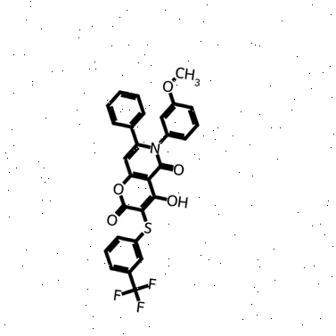 COc1cccc(-n2c(-c3ccccc3)cc3oc(=O)c(Sc4cccc(C(F)(F)F)c4)c(O)c3c2=O)c1